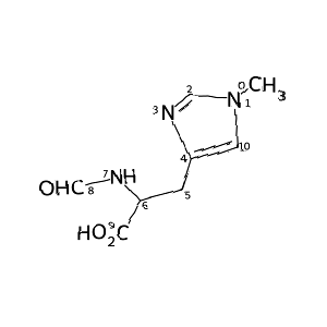 Cn1cnc(CC(NC=O)C(=O)O)c1